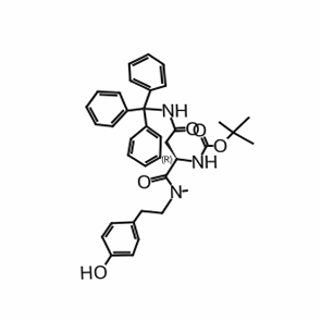 CN(CCc1ccc(O)cc1)C(=O)[C@@H](CC(=O)NC(c1ccccc1)(c1ccccc1)c1ccccc1)NC(=O)OC(C)(C)C